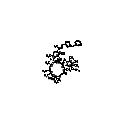 CC[C@H]1OC(=O)[C@H](C)[C@@H](C2C[C@@](C)(OC)[C@@H](O)[C@H](C)O2)[C@H](C)[C@@H](O[C@@H]2O[C@H](C)C[C@H](N(C)CCc3cn(Cc4cccnc4)nn3)[C@H]2O)[C@](C)(O)C[C@@H](C)CN(C)[C@H](C)[C@@H](O)[C@]1(C)O